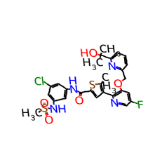 Cc1sc(C(=O)Nc2cc(Cl)cc(NS(C)(=O)=O)c2)cc1-c1ncc(F)cc1OCc1cccc(C(C)(C)O)n1